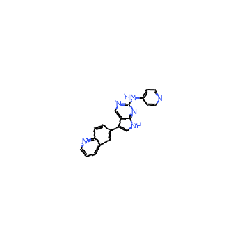 c1cnc2ccc(-c3c[nH]c4nc(Nc5ccncc5)ncc34)cc2c1